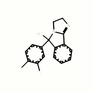 OC1(c2ccc(I)c(I)c2)c2ccccc2C2=NCCN21